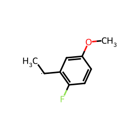 C[CH]c1cc(OC)ccc1F